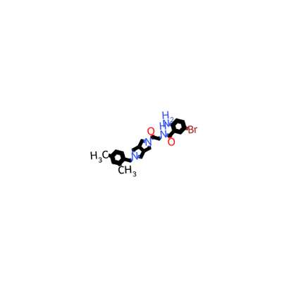 Cc1ccc(CN2CC3CN(C(=O)CNC(=O)c4cc(Br)ccc4N)CC3C2)c(C)c1